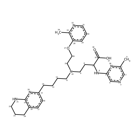 Cc1cncc(NC(CCN(CCCCc2ccc3c(n2)NCCC3)CCOc2cccnc2C)C(=O)O)n1